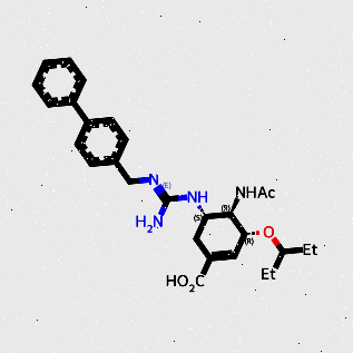 CCC(CC)O[C@@H]1C=C(C(=O)O)C[C@H](N/C(N)=N/Cc2ccc(-c3ccccc3)cc2)[C@H]1NC(C)=O